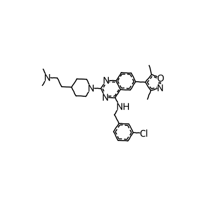 Cc1noc(C)c1-c1ccc2nc(N3CCC(CCN(C)C)CC3)nc(NCc3cccc(Cl)c3)c2c1